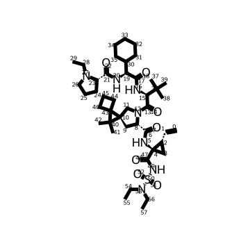 C=C[C@@H]1C[C@]1(NC(=O)[C@@H]1C[C@@]2(CN1C(=O)[C@@H](NC(=O)[C@@H](NC(=O)[C@@H]1CCCN1CC)C1CCCCC1)C(C)(C)C)C(C)(C)C21CCC1)C(=O)NS(=O)(=O)N(CC)CC